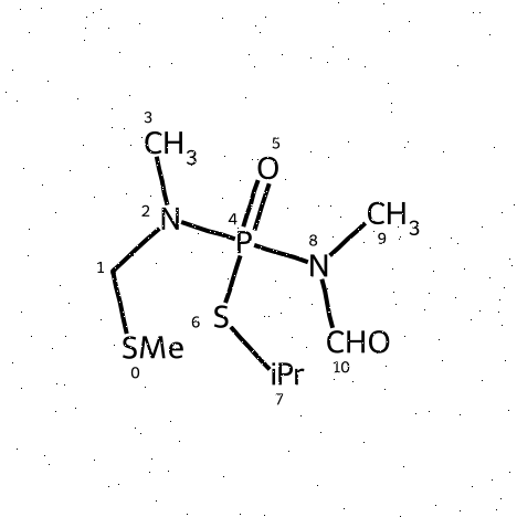 CSCN(C)P(=O)(SC(C)C)N(C)C=O